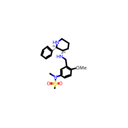 COc1ccc(N(C)S(C)(=O)=O)cc1CN[C@H]1CCCN[C@H]1c1ccccc1